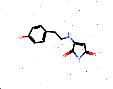 O=C1C=C(NCCc2ccc(O)cc2)C(=O)N1